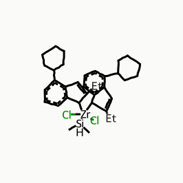 CCC1=Cc2c(C3CCCCC3)cccc2[CH]1[Zr]([Cl])([Cl])([CH]1C(CC)=Cc2c(C3CCCCC3)cccc21)[SiH](C)C